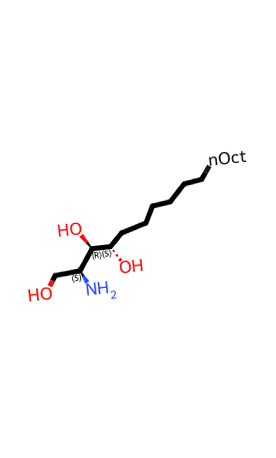 CCCCCCCCCCCCCC[C@H](O)[C@H](O)[C@@H](N)CO